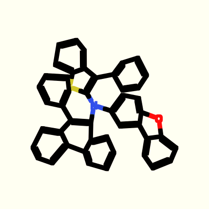 c1ccc(-c2c(N(c3ccc4oc5ccccc5c4c3)c3c(-c4ccccc4)c4ccccc4c4ccccc34)sc3ccccc23)cc1